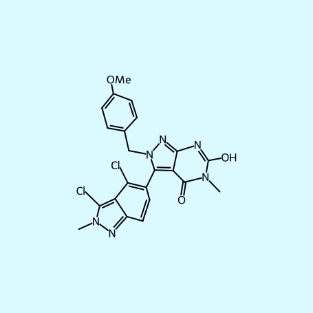 COc1ccc(Cn2nc3nc(O)n(C)c(=O)c3c2-c2ccc3nn(C)c(Cl)c3c2Cl)cc1